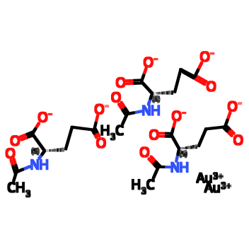 CC(=O)N[C@@H](CCC(=O)[O-])C(=O)[O-].CC(=O)N[C@@H](CCC(=O)[O-])C(=O)[O-].CC(=O)N[C@@H](CCC(=O)[O-])C(=O)[O-].[Au+3].[Au+3]